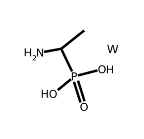 CC(N)P(=O)(O)O.[W]